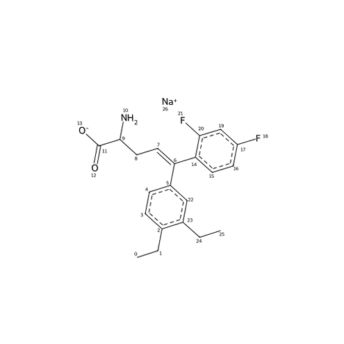 CCc1ccc(/C(=C\CC(N)C(=O)[O-])c2ccc(F)cc2F)cc1CC.[Na+]